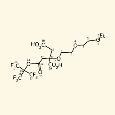 CCOCCOCCOC(CC(=O)O)(CC(=O)OC(C(F)(F)F)(C(F)(F)F)C(F)(F)F)C(=O)O